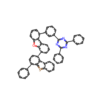 c1ccc(-c2nc(-c3ccccc3)nc(-c3cccc(-c4cccc5oc6c(-c7ccc(-c8ccccc8)c8sc9ccccc9c78)cccc6c45)c3)n2)cc1